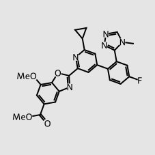 COC(=O)c1cc(OC)c2oc(-c3cc(-c4ccc(F)cc4-c4nncn4C)cc(C4CC4)n3)nc2c1